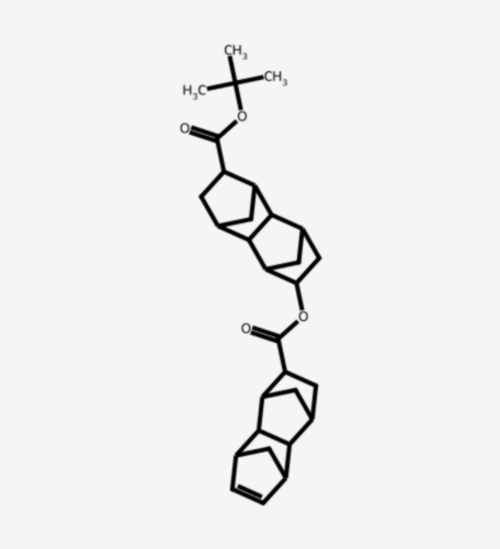 CC(C)(C)OC(=O)C1CC2CC1C1C3CC(OC(=O)C4CC5CC4C4C6C=CC(C6)C54)C(C3)C21